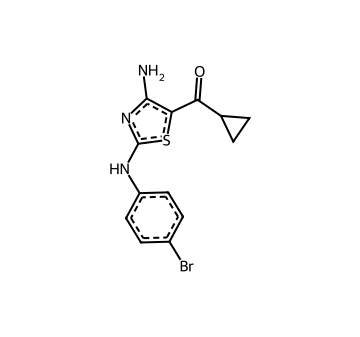 Nc1nc(Nc2ccc(Br)cc2)sc1C(=O)C1CC1